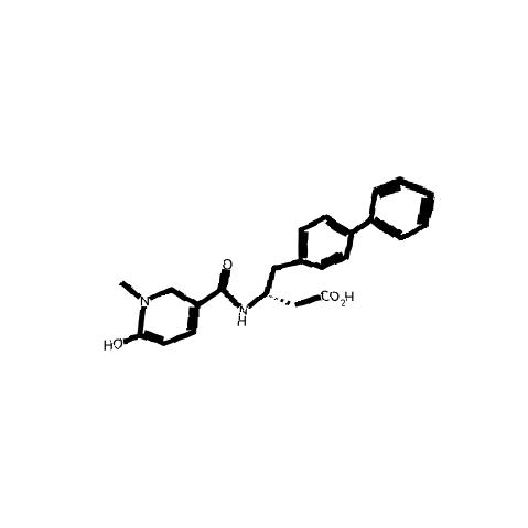 CN1CC(C(=O)N[C@@H](CC(=O)O)Cc2ccc(-c3ccccc3)cc2)=CC=C1O